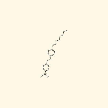 CCCCCCN=Cc1ccc(OCc2ccc([N+](=O)[O-])cc2)cc1